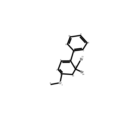 COC1=CC=C(c2ccccc2)C(Br)(Br)C1